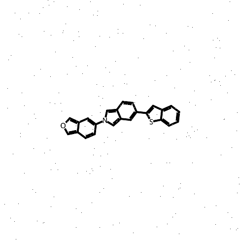 c1ccc2sc(-c3ccc4cn(-c5ccc6cocc6c5)cc4c3)cc2c1